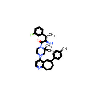 C[C@H](C(=N)C(=O)N1CCN(c2ccnc3c2C=C(c2ccc(C#N)cc2)CCC3)CC1(C)C)c1cccc(F)c1